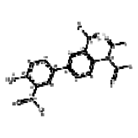 CC(=O)N(C(C)=O)c1ccc(-c2ccc(N)c([N+](=O)[O-])c2)cc1[N+](=O)[O-]